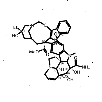 CC[C@]1(O)CC2CN(CCc3c([nH]c4ccccc34)[C@@](C(=O)OC)(c3cc4c(cc3OC)N(C)C3[C@]45CCN4CC=C[C@](CC)([C@@H]45)[C@@H](O)[C@]3(O)C(N)=O)C2)C1